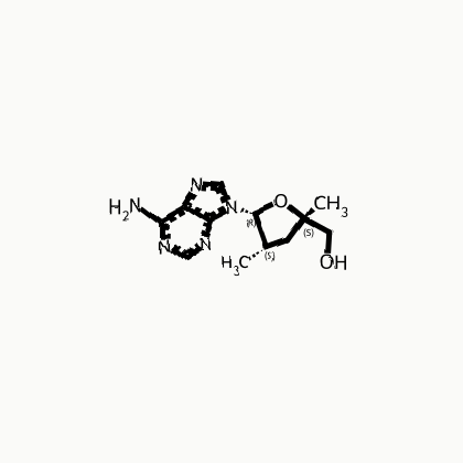 C[C@H]1C[C@@](C)(CO)O[C@H]1n1cnc2c(N)ncnc21